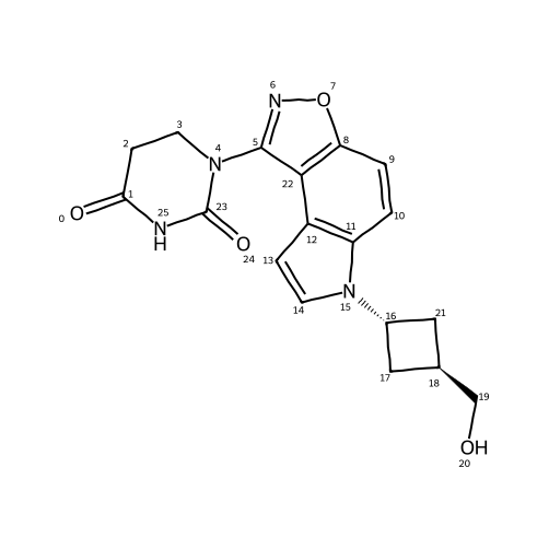 O=C1CCN(c2noc3ccc4c(ccn4[C@H]4C[C@H](CO)C4)c23)C(=O)N1